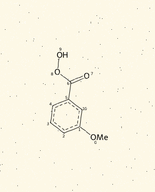 COc1cccc(C(=O)OO)c1